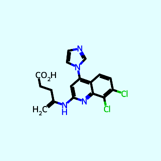 C=C(CCC(=O)O)Nc1cc(-n2ccnc2)c2ccc(Cl)c(Cl)c2n1